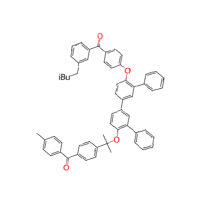 CCC(C)Cc1cccc(C(=O)c2ccc(Oc3ccc(-c4ccc(OC(C)(C)c5ccc(C(=O)c6ccc(C)cc6)cc5)c(-c5ccccc5)c4)cc3-c3ccccc3)cc2)c1